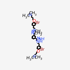 C=C(/N=N\N(C)CCc1ccc(OCCCCN(C)C)c(Br)c1)c1cccc(/C(=C/NCCc2ccc(OCCCN(C)C)c(Br)c2)N=N)c1